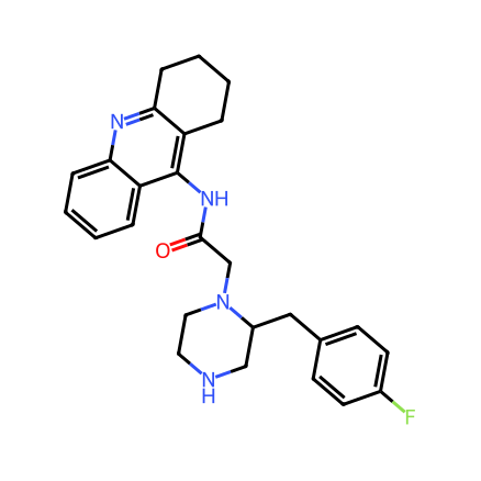 O=C(CN1CCNCC1Cc1ccc(F)cc1)Nc1c2c(nc3ccccc13)CCCC2